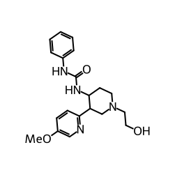 COc1ccc(C2CN(CCO)CCC2NC(=O)Nc2ccccc2)nc1